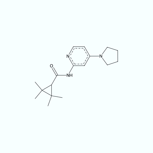 CC1(C)C(C(=O)Nc2cc(N3CCCC3)ccn2)C1(C)C